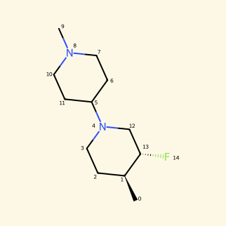 C[C@H]1CCN(C2CCN(C)CC2)C[C@@H]1F